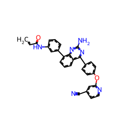 C=CC(=O)Nc1cccc(-c2cccc3c(-c4ccc(Oc5cc(C#N)ccn5)cc4)nc(N)nc23)c1